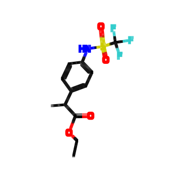 CCOC(=O)C(C)c1ccc(NS(=O)(=O)C(F)(F)F)cc1